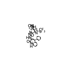 O=C1Nc2ccccc2C(c2ccccc2)=C[C@@H]1Nc1nnc(-c2nc(C3(C(F)(F)F)CC3)sc2N2CCO[C@H]3C[C@H]32)o1